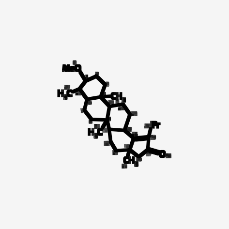 COC1CCC2(C)C(CCC3(C)C4CCC5(C)CC(=O)C(C(C)C)=C5C4CCC32)C1C